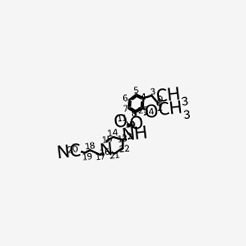 CC1(C)Cc2cccc(OC(=O)NC3CCN(CCCC#N)CC3)c2O1